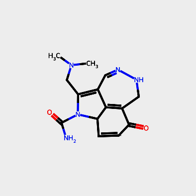 CN(C)CC1=C2C=NNCC3=C2C(C=[C]C3=O)N1C(N)=O